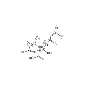 CC(C)(C)C(=O)/C=C(/O)C(C)(C)C.CC(C)(C)C(=O)/C=C(/O)C(C)(C)C.CC(C)(C)C(=O)/C=C(/O)C(C)(C)C.[Dy]